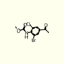 COC(=O)Nc1c(Cl)cc(C(C)=O)cc1Br